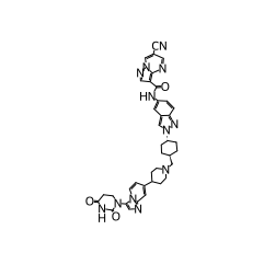 N#Cc1cnc2c(C(=O)Nc3ccc4nn([C@H]5CC[C@H](CN6CCC(c7ccn8c(N9CCC(=O)NC9=O)cnc8c7)CC6)CC5)cc4c3)cnn2c1